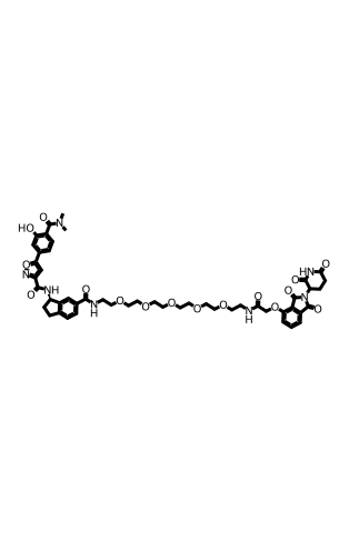 CN(C)C(=O)c1ccc(-c2cc(C(=O)N[C@@H]3CCc4ccc(C(=O)NCCOCCOCCOCCOCCOCCNC(=O)COc5cccc6c5C(=O)N(C5CCC(=O)NC5=O)C6=O)cc43)no2)cc1O